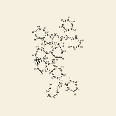 c1ccc(N(c2ccccc2)c2ccc3c(c2)c2ccccc2n3-c2ccncc2-c2cnccc2-n2c3ccccc3c3cc(N(c4ccccc4)c4ccccc4)ccc32)cc1